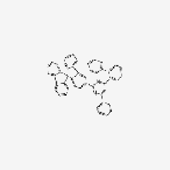 c1ccc(-c2cc(-c3ccccc3-c3ccccc3)nc(-c3ccc4c(c3)-c3ccccc3C43c4ccccc4-c4ccccc43)n2)cc1